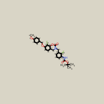 COc1ccc(COc2ccc3c(c2F)OC(=O)N(Cc2cccc(NC(=O)OC(C)(C)C)c2F)C3)cc1